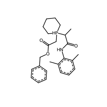 Cc1cccc(C)c1NC(=O)C(C)[PH]1(CC(=O)OCc2ccccc2)CCCCC1